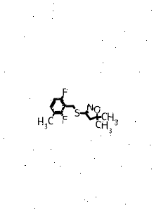 Cc1ccc(F)c(CSC2=NOC(C)(C)C2)c1F